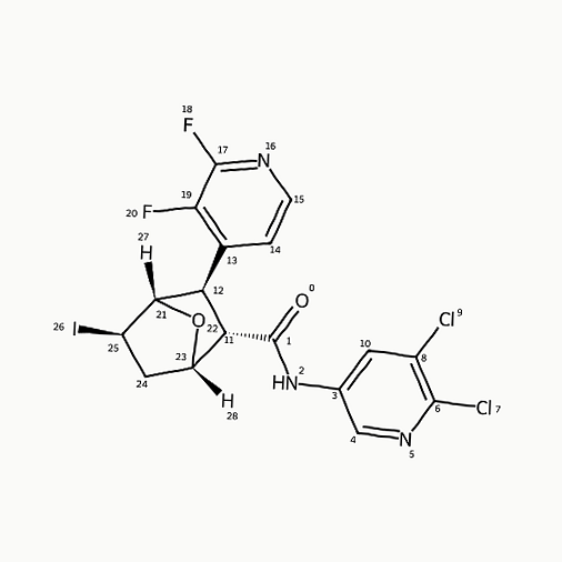 O=C(Nc1cnc(Cl)c(Cl)c1)[C@H]1[C@H](c2ccnc(F)c2F)[C@@H]2O[C@H]1C[C@H]2I